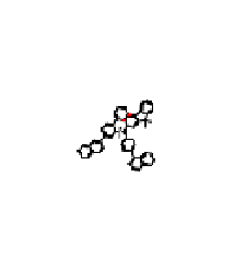 CC1(C)c2ccccc2-c2ccc(N(c3ccc(-c4cccc5ccccc45)cc3)C3CC(c4ccc5ccccc5c4)=CC=C3c3ccccc3)cc21